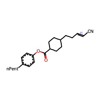 CCCCCc1ccc(OC(=O)C2CCC(CC/C=C/C#N)CC2)cc1